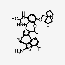 N#Cc1c(N)sc2c(F)ccc(-c3c(Cl)cn4c3C(F)Oc3c(OC[C@@]56CCCN5C[C@H](F)C6)ccc5c3[C@H]4N[C@@H](O)N5)c12